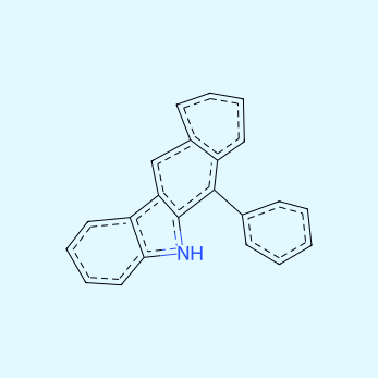 c1ccc(-c2c3ccccc3cc3c2[nH]c2ccccc23)cc1